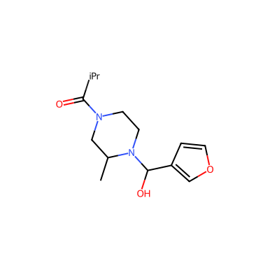 CC(C)C(=O)N1CCN(C(O)c2ccoc2)C(C)C1